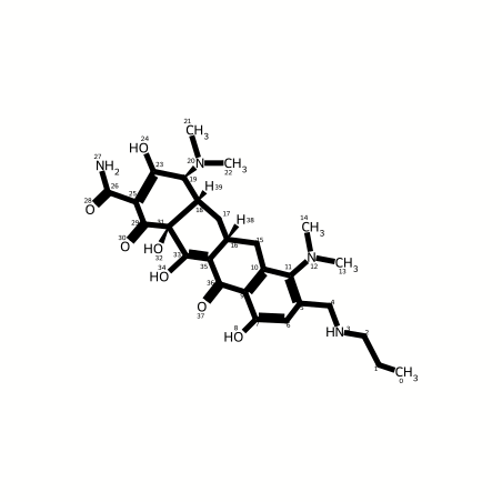 CCCNCc1cc(O)c2c(c1N(C)C)C[C@H]1C[C@H]3[C@H](N(C)C)C(O)=C(C(N)=O)C(=O)[C@@]3(O)C(O)=C1C2=O